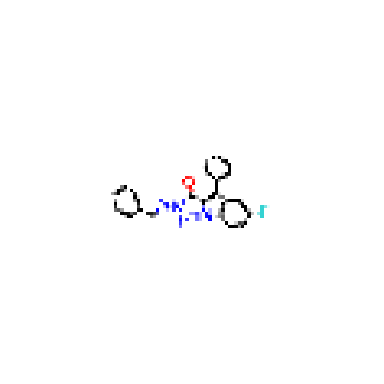 O=C(NN=Cc1ccccc1)c1[nH]c2ccc(F)cc2c1-c1ccccc1